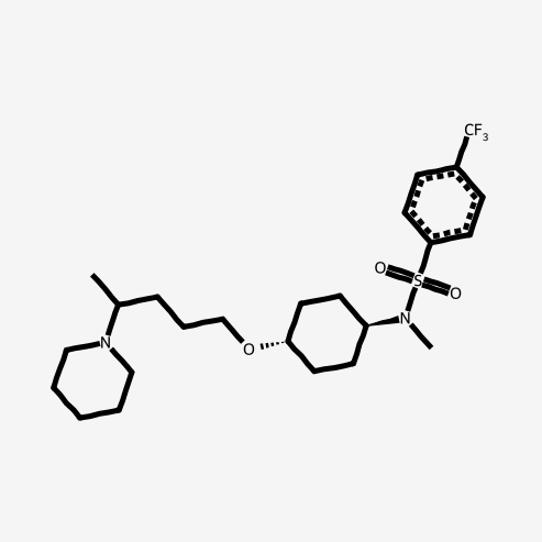 CC(CCCO[C@H]1CC[C@H](N(C)S(=O)(=O)c2ccc(C(F)(F)F)cc2)CC1)N1CCCCC1